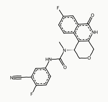 CN(C(=O)Nc1ccc(F)c(C#N)c1)[C@H]1COCc2[nH]c(=O)c3cc(F)ccc3c21